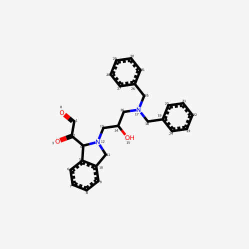 O=CC(=O)C1c2ccccc2CN1CC(O)CN(Cc1ccccc1)Cc1ccccc1